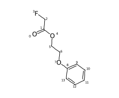 O=C(CF)OCCOc1ccccc1